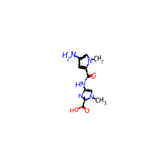 Cn1cc(N)cc1C(=O)Nc1cn(C)c(C(=O)O)n1